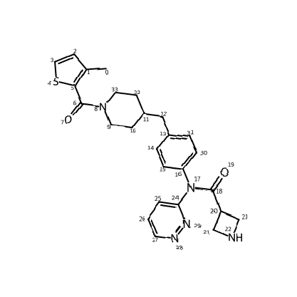 Cc1ccsc1C(=O)N1CCC(Cc2ccc(N(C(=O)C3CNC3)c3cccnn3)cc2)CC1